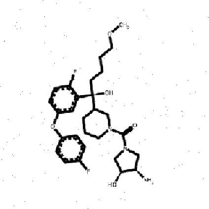 COCCCC[C@@](O)(c1cc(Oc2ccc(F)cc2)ccc1F)C1CCCN(C(=O)N2C[C@@H](N)[C@@H](O)C2)C1